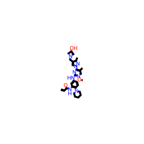 C=CC(=O)Nc1cc(Nc2ncc(C)c(-n3cc(CN4CC(O)C4)c(C)n3)n2)c(OC)cc1N1CCCCC1